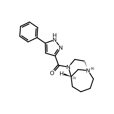 O=C(c1cc(-c2ccccc2)[nH]n1)N1CC[N@]2CCCC[C@H]1C2